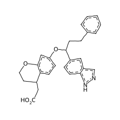 O=C(O)CC1CCOc2cc(OC(CCc3ccccc3)c3ccc4[nH]ncc4c3)ccc21